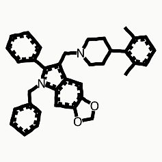 Cc1cccc(C)c1C1CCN(Cc2c(-c3ccccc3)n(Cc3ccccc3)c3cc4c(cc23)OCO4)CC1